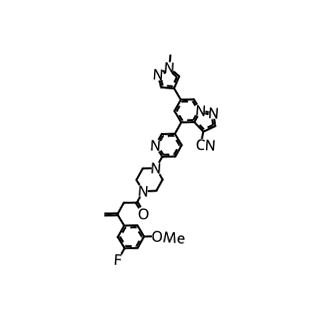 C=C(CC(=O)N1CCN(c2ccc(-c3cc(-c4cnn(C)c4)cn4ncc(C#N)c34)cn2)CC1)c1cc(F)cc(OC)c1